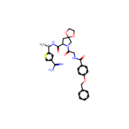 C[C@@H](NC(=O)C1CC2(CN1C(=O)CNC(=O)c1ccc(OCc3ccccc3)cc1)OCCO2)c1cc(C(=N)N)cs1